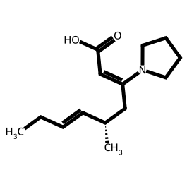 CC/C=C/[C@@H](C)C/C(=C/C(=O)O)N1CCCC1